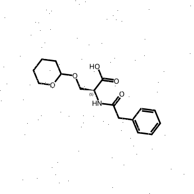 O=C(Cc1ccccc1)N[C@@H](COC1CCCCO1)C(=O)O